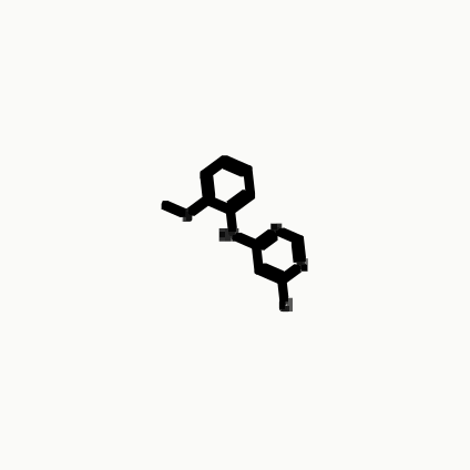 CSc1ccccc1Nc1cc(Cl)ncn1